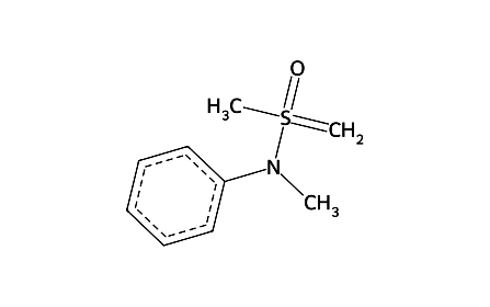 C=S(C)(=O)N(C)c1ccccc1